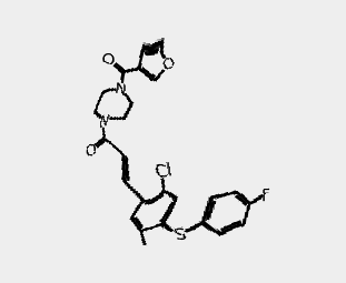 Cc1cc(C=CC(=O)N2CCN(C(=O)c3ccoc3)CC2)c(Cl)cc1Sc1ccc(F)cc1